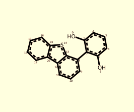 Oc1cccc(O)c1-c1cccc2c1sc1ccccc12